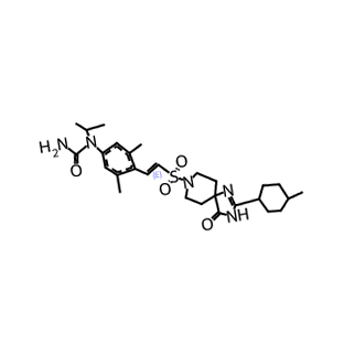 Cc1cc(N(C(N)=O)C(C)C)cc(C)c1/C=C/S(=O)(=O)N1CCC2(CC1)N=C(C1CCC(C)CC1)NC2=O